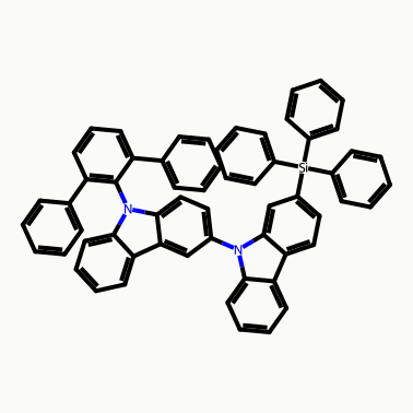 c1ccc(-c2cccc(-c3ccccc3)c2-n2c3ccccc3c3cc(-n4c5ccccc5c5ccc([Si](c6ccccc6)(c6ccccc6)c6ccccc6)cc54)ccc32)cc1